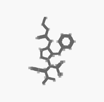 CCCC(=O)OC1OCN(N(C(=O)O)C(=C=O)C(C)C)C1Cc1ccccc1